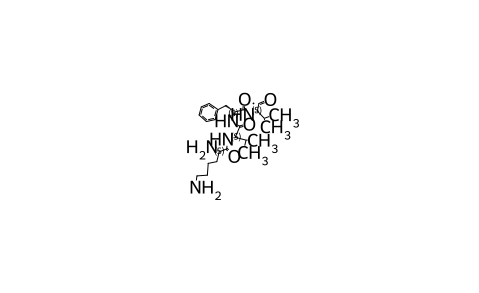 CC(C)[C@H](NC(=O)[C@@H](N)CCCCN)C(=O)N[C@@H](Cc1ccccc1)C(=O)N[C@H]([C]=O)C(C)C